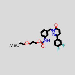 COCCOCCCOC(=O)Nc1cccc(Cn2nc(-c3ccc(F)c(F)c3)ccc2=O)c1